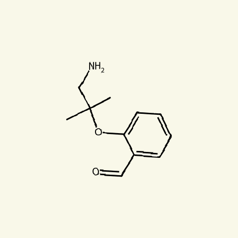 CC(C)(CN)Oc1ccccc1C=O